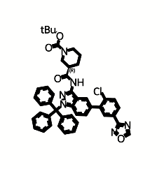 CC(C)(C)OC(=O)N1CCC[C@@H](C(=O)Nc2nn(C(c3ccccc3)(c3ccccc3)c3ccccc3)c3ccc(-c4cc(-c5ncon5)ccc4Cl)cc23)C1